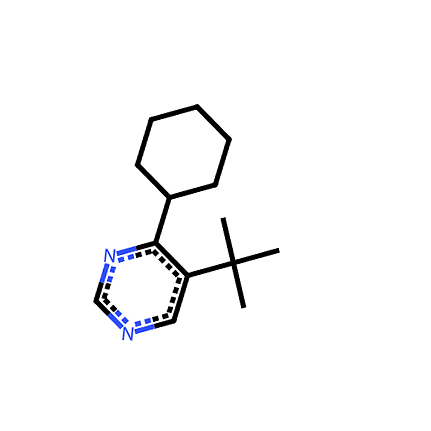 CC(C)(C)c1cncnc1C1CCCCC1